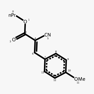 CCCOC(=O)/C(C#N)=C/c1ccc(OC)cc1